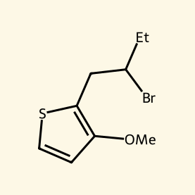 [CH2]CC(Br)Cc1sccc1OC